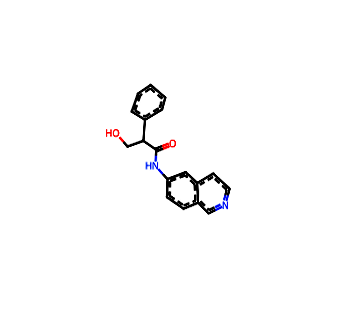 O=C(Nc1ccc2cnccc2c1)C(CO)c1ccccc1